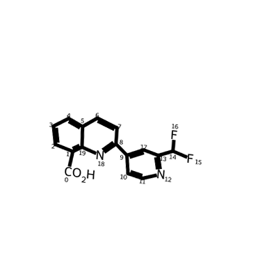 O=C(O)c1cccc2ccc(-c3ccnc(C(F)F)c3)nc12